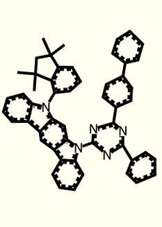 CC1(C)CC(C)(C)c2c(-n3c4ccccc4c4cc5c6ccccc6n(-c6nc(-c7ccccc7)nc(-c7ccc(-c8ccccc8)cc7)n6)c5cc43)cccc21